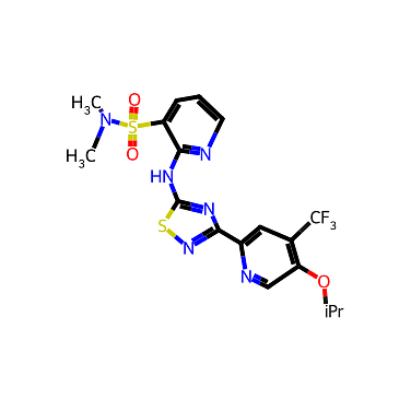 CC(C)Oc1cnc(-c2nsc(Nc3ncccc3S(=O)(=O)N(C)C)n2)cc1C(F)(F)F